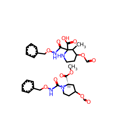 CC1C(OC=O)CCNC1(C(=O)O)C(=O)NOCc1ccccc1.COC(=O)[C@@H]1CC(OC=O)CCN1C(=O)NOCc1ccccc1